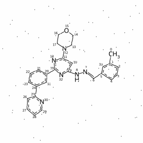 Cc1cccc(C=NNc2cc(N3CCOCC3)nc(-c3cccc(-c4ccccn4)c3)n2)c1